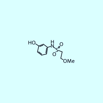 COCCS(=O)(=O)Nc1cccc(O)c1